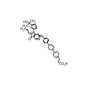 C=CCn1c(=O)c2cnc(Nc3ccc(N4CCN(C5CCN(CCC(=O)O)CC5)CC4)cc3)nc2n1-c1cccc(C(C)(C)O)n1